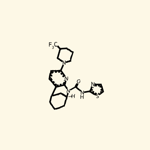 O=C(Nc1nccs1)N1c2nc(N3CCCC(C(F)(F)F)C3)ccc2C2CCC[C@H]1C2